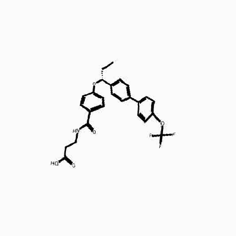 CC[C@@H](Oc1ccc(C(=O)NCCC(=O)O)cc1)c1ccc(-c2ccc(OC(F)(F)F)cc2)cc1